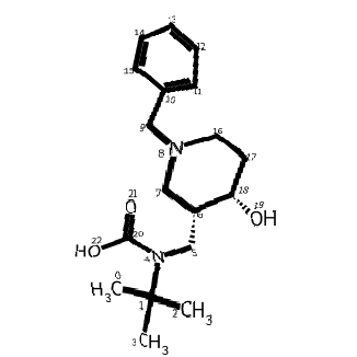 CC(C)(C)N(C[C@@H]1CN(Cc2ccccc2)CC[C@@H]1O)C(=O)O